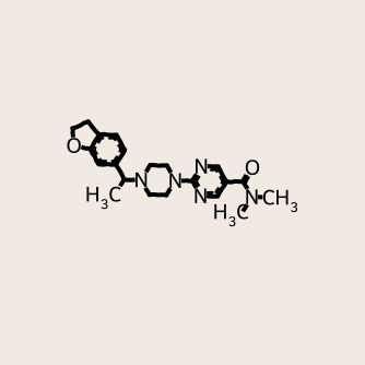 CC(c1ccc2c(c1)OCC2)N1CCN(c2ncc(C(=O)N(C)C)cn2)CC1